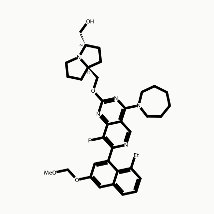 CCc1cccc2cc(OCOC)cc(-c3ncc4c(N5CCCCCC5)nc(OC[C@@]56CCCN5[C@H](CO)CC6)nc4c3F)c12